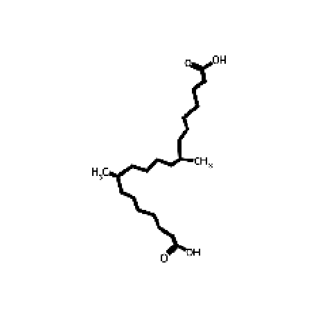 CC(CCCCCCC(=O)O)CCCCC(C)CCCCCCC(=O)O